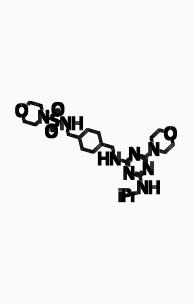 CC(C)Nc1nc(NCC2CCC(CNS(=O)(=O)N3CCOCC3)CC2)nc(N2CCOCC2)n1